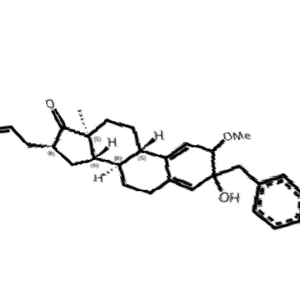 C=CC[C@@H]1C[C@H]2[C@@H]3CCC4=CC(O)(Cc5ccccc5)C(OC)C=C4[C@H]3CC[C@]2(C)C1=O